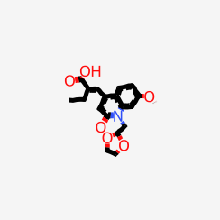 CC/C(=C\c1cc(=O)n(CC2OCCO2)c2cc(OC)ccc12)C(=O)O